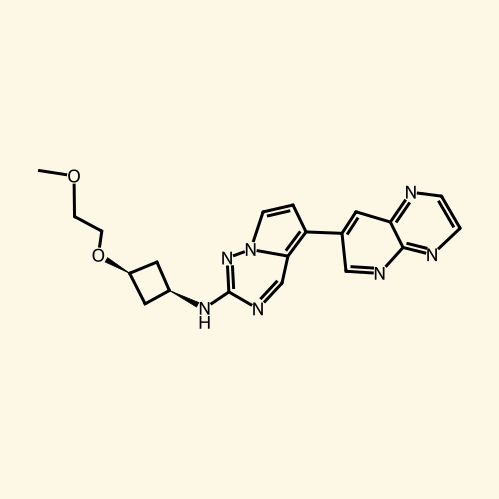 COCCO[C@H]1C[C@@H](Nc2ncc3c(-c4cnc5nccnc5c4)ccn3n2)C1